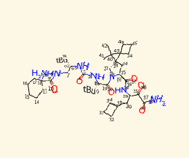 CC(C)(C)[C@H](NC(=O)N[C@H](CNC(=O)C1(N)CCCCC1)C(C)(C)C)C(=O)N1C[C@]2(C[C@H]1C(=O)NC(CC1CCC1)C(=O)C(N)=O)C(C)(C)C21CCC1